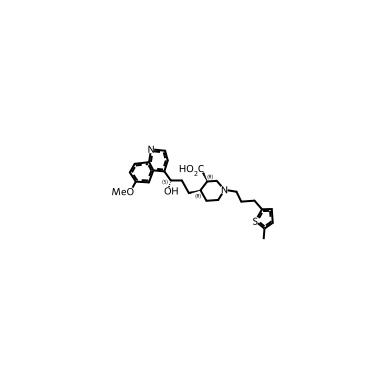 COc1ccc2nccc([C@@H](O)CC[C@@H]3CCN(CCCc4ccc(C)s4)C[C@@H]3C(=O)O)c2c1